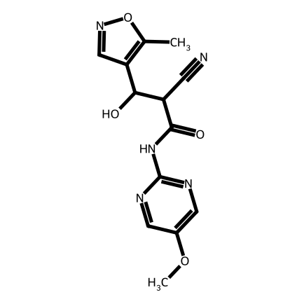 COc1cnc(NC(=O)C(C#N)C(O)c2cnoc2C)nc1